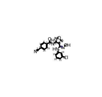 N#Cc1ccc(C(=O)Nc2nonc2/C(=N\O)Nc2cccc(Cl)c2)cc1